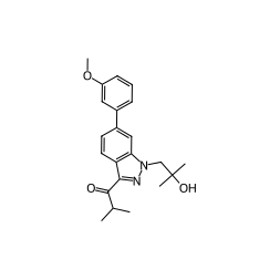 COc1cccc(-c2ccc3c(C(=O)C(C)C)nn(CC(C)(C)O)c3c2)c1